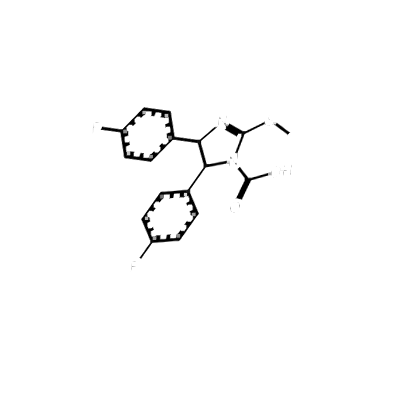 CSC1=NC(c2ccc(F)cc2)C(c2ccc(F)cc2)N1C(=O)O